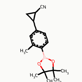 Cc1cc(C2CC2C#N)ccc1B1OC(C)(C)C(C)(C)O1